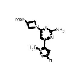 CNC1CN(c2cc(-c3cc(Cl)nn3C)nc(N)n2)C1